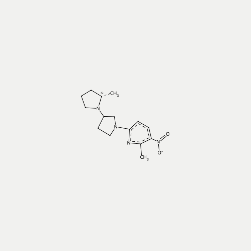 Cc1nc(N2CCC(N3CCC[C@@H]3C)C2)ccc1[N+](=O)[O-]